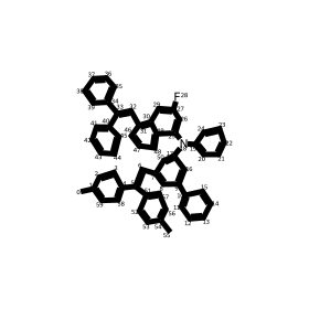 Cc1ccc(C(=Cc2cc(-c3ccccc3)cc(N(c3ccccc3)c3cc(F)cc4c(C=C(c5ccccc5)c5ccccc5)cccc34)c2)c2ccc(C)cc2)cc1